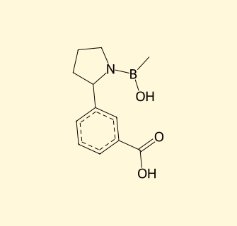 CB(O)N1CCCC1c1cccc(C(=O)O)c1